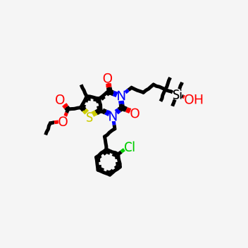 CCOC(=O)c1sc2c(c1C)c(=O)n(CCCC(C)(C)[Si](C)(C)O)c(=O)n2CCc1ccccc1Cl